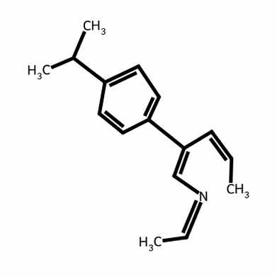 C\C=C/C(=C\N=C/C)c1ccc(C(C)C)cc1